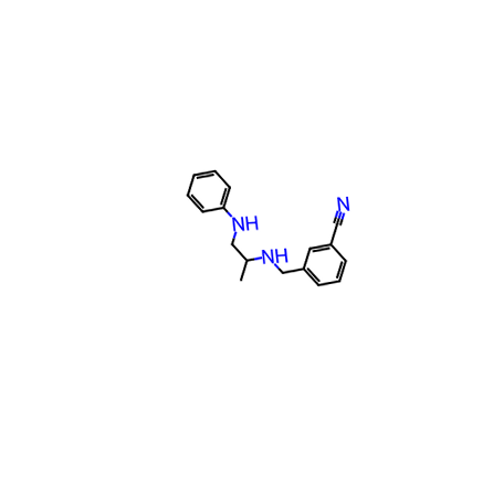 CC(CNc1ccccc1)NCc1cccc(C#N)c1